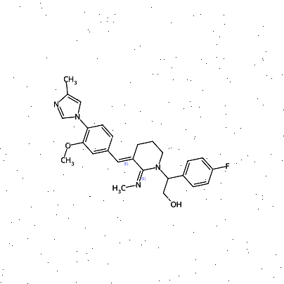 C/N=C1\C(=C\c2ccc(-n3cnc(C)c3)c(OC)c2)CCCN1C(CO)c1ccc(F)cc1